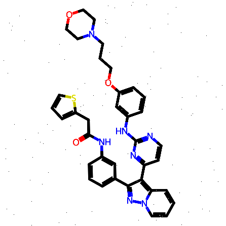 O=C(Cc1cccs1)Nc1cccc(-c2nn3ccccc3c2-c2ccnc(Nc3cccc(OCCCN4CCOCC4)c3)n2)c1